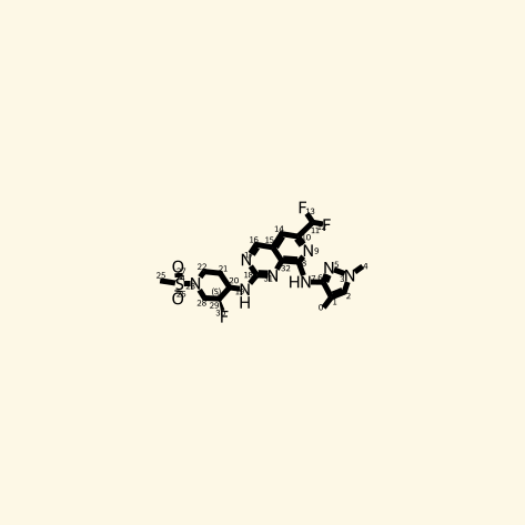 Cc1cn(C)nc1Nc1nc(C(F)F)cc2cnc(NC3CCN(S(C)(=O)=O)C[C@@H]3F)nc12